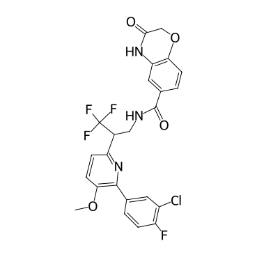 COc1ccc(C(CNC(=O)c2ccc3c(c2)NC(=O)CO3)C(F)(F)F)nc1-c1ccc(F)c(Cl)c1